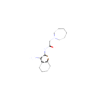 Nc1c(NC(=O)CN2CCCCCC2)sc2c1CCCC2